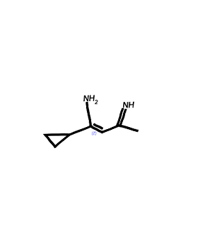 CC(=N)/C=C(\N)C1CC1